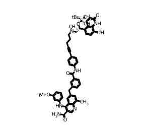 COc1cccc(Nc2c(C(N)=O)cnc3c(C)cc(Cc4cccc(C(=O)Nc5ccc(C#CCCCN(C)C[C@H](O[Si](C)(C)C(C)(C)C)c6ccc(O)c7[nH]c(=O)ccc67)cc5)c4)cc23)c1